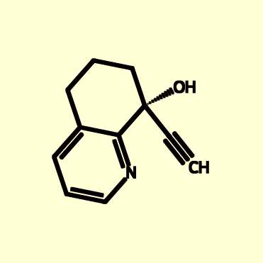 C#C[C@]1(O)CCCc2cccnc21